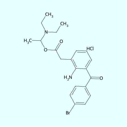 CCN(CC)C(C)OC(=O)Cc1cccc(C(=O)c2ccc(Br)cc2)c1N.Cl